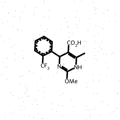 COC1=NC(c2ccccc2C(F)(F)F)C(C(=O)O)=C(C)N1